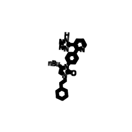 CCCCc1cn(CCC2CCCCC2)c(=O)n1-c1ccc(-c2ncccc2-c2nnn[nH]2)cc1